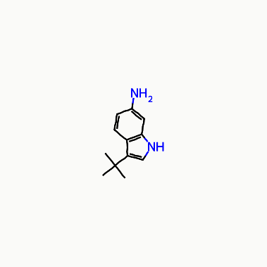 CC(C)(C)c1c[nH]c2cc(N)ccc12